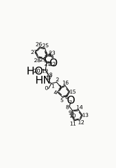 CC(Cc1ccc(OCc2ccccc2)cc1)NCC(O)c1occ2ccccc12